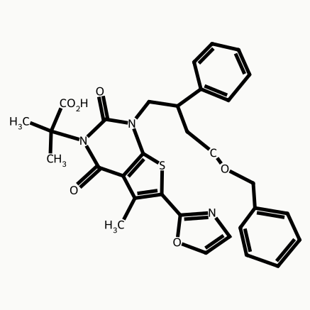 Cc1c(-c2ncco2)sc2c1c(=O)n(C(C)(C)C(=O)O)c(=O)n2CC(CCOCc1ccccc1)c1ccccc1